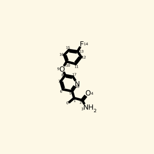 CC(C(N)=O)c1ccc(Oc2ccc(F)cc2)cn1